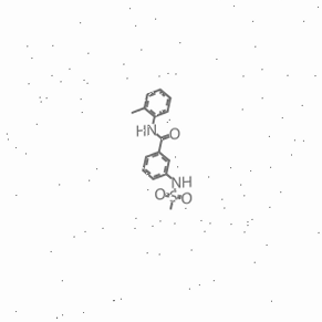 Cc1ccccc1NC(=O)c1cccc(NS(C)(=O)=O)c1